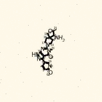 COc1ccc(-c2n[nH]c3nc(N4CCC5(CC4)CO[C@@H](C)[C@H]5N)n(C)c(=O)c23)cn1